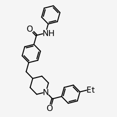 CCc1ccc(C(=O)N2CCC(Cc3ccc(C(=O)Nc4ccccc4)cc3)CC2)cc1